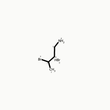 Br.CC(Br)CCN